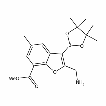 COC(=O)c1cc(C)cc2c(B3OC(C)(C)C(C)(C)O3)c(CN)oc12